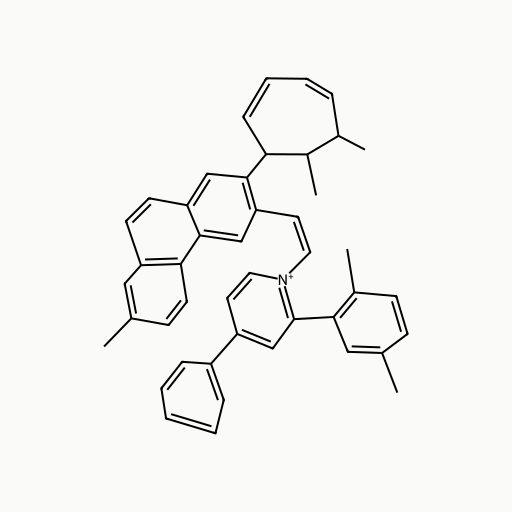 Cc1ccc(C)c(-c2cc(-c3ccccc3)cc[n+]2/C=C\c2cc3c(ccc4cc(C)ccc43)cc2C2C=CC=CC(C)C2C)c1